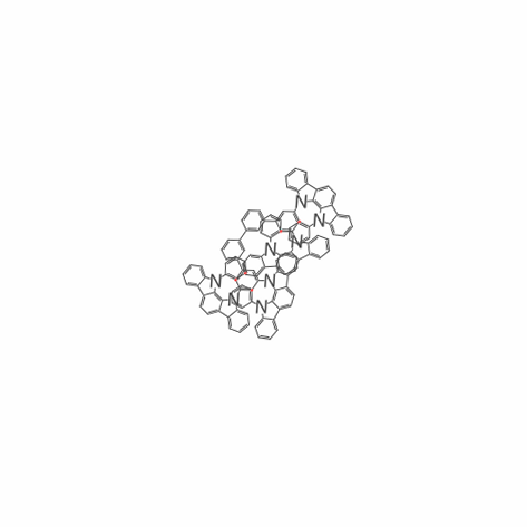 c1ccc(-n2c3ccccc3c3ccc4c5ccccc5n(-c5cc(-c6cccc(-c7cccc(-c8cc(-n9c%10ccccc%10c%10ccc%11c%12ccccc%12n(-c%12ccccc%12)c%11c%109)cc(-n9c%10ccccc%10c%10ccc%11c%12ccccc%12n(-c%12ccccc%12)c%11c%109)c8)c7)c6)cc(-n6c7ccccc7c7ccc8c9ccccc9n(-c9ccccc9)c8c76)c5)c4c32)cc1